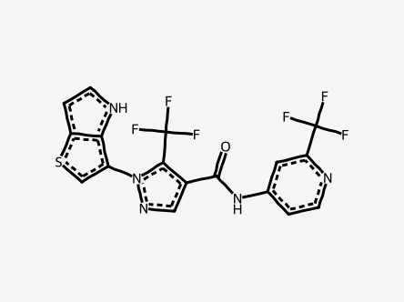 O=C(Nc1ccnc(C(F)(F)F)c1)c1cnn(-c2csc3cc[nH]c23)c1C(F)(F)F